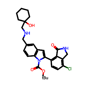 CC(C)(C)OC(=O)n1c(-c2ccc(Cl)c3c2C(=O)NC3)cc2cc(CNCC3(O)CCCCC3)ccc21